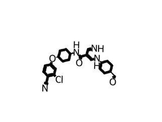 N#Cc1ccc(O[C@H]2CC[C@H](NC(=O)/C(C=N)=C/N[C@H]3CC[C@H](C=O)CC3)CC2)cc1Cl